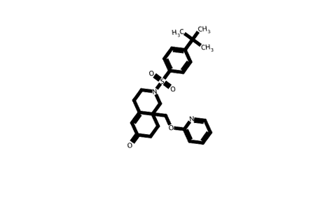 CC(C)(C)c1ccc(S(=O)(=O)N2CCC3=CC(=O)CCC3(COc3ccccn3)C2)cc1